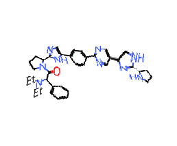 CCN(CC)[C@@H](C(=O)N1CCC[C@H]1c1ncc(-c2ccc(-c3ncc(C4CNC([C@@H]5CCCN5)=N4)cn3)cc2)[nH]1)c1ccccc1